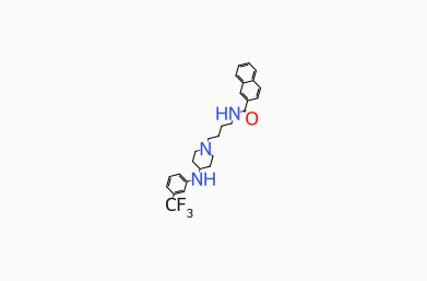 O=C(NCCCCN1CCC(Nc2cccc(C(F)(F)F)c2)CC1)c1ccc2ccccc2c1